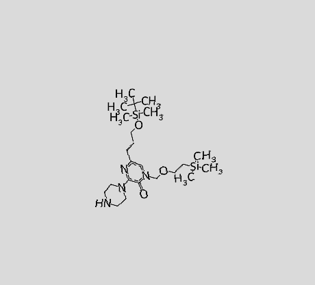 CC(C)(C)[Si](C)(C)OCCCc1cn(COCC[Si](C)(C)C)c(=O)c(N2CCNCC2)n1